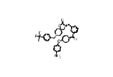 Nc1ccc(OC2CCN(C(=O)c3cccc(CN4CC5(CCN(Cc6ccc(C(F)(F)F)cc6)CC5)OC4=O)c3)CC2)cc1